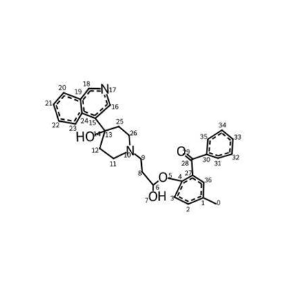 Cc1ccc(OC(O)CCN2CCC(O)(c3cncc4ccccc34)CC2)c(C(=O)c2ccccc2)c1